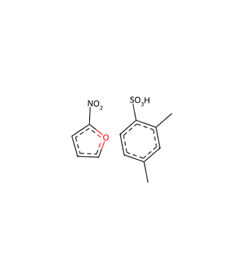 Cc1ccc(S(=O)(=O)O)c(C)c1.O=[N+]([O-])c1ccco1